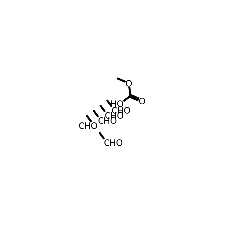 CC=O.CC=O.CC=O.CC=O.CC=O.COC(=O)O